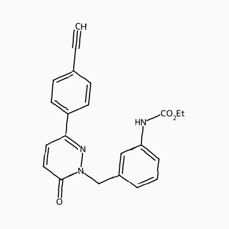 C#Cc1ccc(-c2ccc(=O)n(Cc3cccc(NC(=O)OCC)c3)n2)cc1